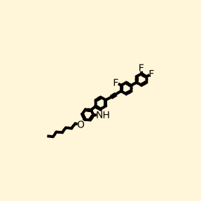 CCCCCCCOc1ccc2c(c1)[nH]c1cc(C#Cc3ccc(-c4ccc(F)c(F)c4)cc3F)ccc12